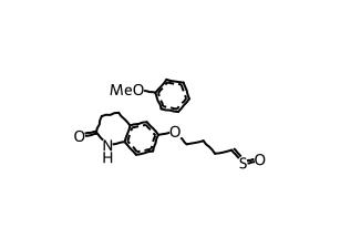 COc1ccccc1.O=S=CCCCOc1ccc2c(c1)CCC(=O)N2